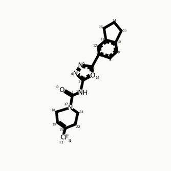 O=C(Nc1nnc(-c2ccc3c(c2)CCC3)o1)N1CC=C(C(F)(F)F)CC1